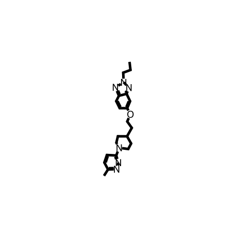 CCCn1nc2ccc(OCCC3CCN(c4ccc(C)nn4)CC3)cc2n1